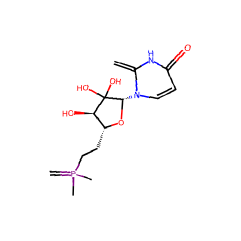 C=C1NC(=O)C=CN1[C@@H]1O[C@H](CCP(=C)(C)C)[C@@H](O)C1(O)O